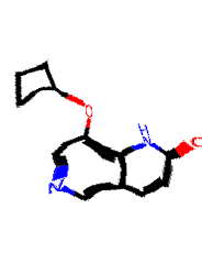 O=c1ccc2cncc(OC3CCC3)c2[nH]1